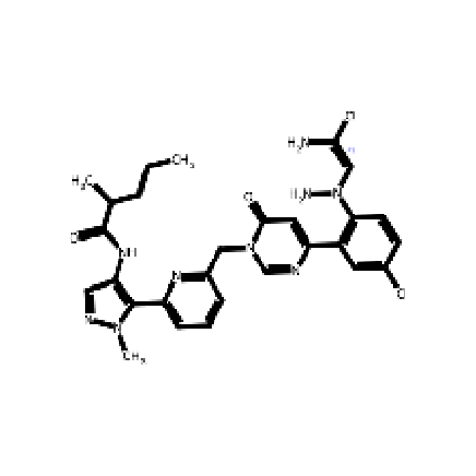 CCCC(C)C(=O)Nc1cnn(C)c1-c1cccc(Cn2cnc(-c3cc(Cl)ccc3N(N)/C=C(\N)Cl)cc2=O)n1